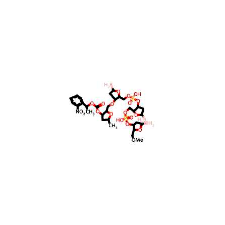 BC1CC(OCC2OC(C)CC2OC(=O)OC(C)c2ccccc2[N+](=O)[O-])C(COP(=O)(O)OC2CC(B)OC2COP(=O)(O)OC2CC(B)OC2COC)O1